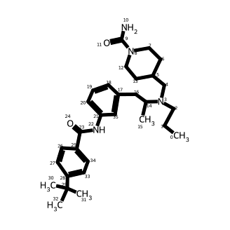 CCCN(CC1CCN(C(N)=O)CC1)C(C)Cc1cccc(NC(=O)c2ccc(C(C)(C)C)cc2)c1